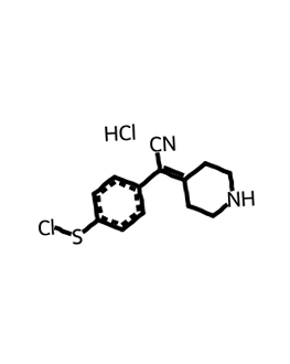 Cl.N#CC(=C1CCNCC1)c1ccc(SCl)cc1